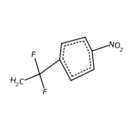 [CH2]C(F)(F)c1ccc([N+](=O)[O-])cc1